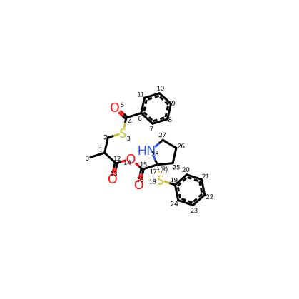 CC(CSC(=O)c1ccccc1)C(=O)OC(=O)[C@]1(Sc2ccccc2)CCCN1